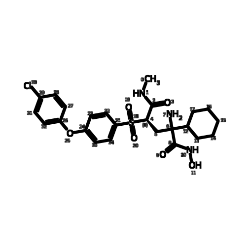 CNC(=O)[C@@H](CC(N)(C(=O)NO)C1CCCCC1)S(=O)(=O)c1ccc(Oc2ccc(Cl)cc2)cc1